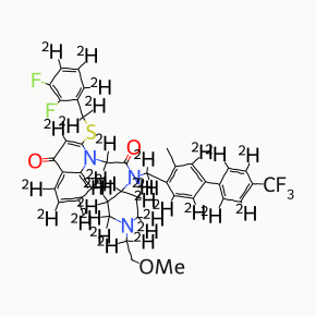 [2H]c1c([2H])c(F)c(F)c(C([2H])([2H])Sc2c([2H])c(=O)c3c([2H])c([2H])c([2H])c([2H])c3n2C([2H])([2H])C(=O)N(C([2H])([2H])c2c([2H])c([2H])c(-c3c([2H])c([2H])c(C(F)(F)F)c([2H])c3[2H])c([2H])c2C)C2([2H])C([2H])([2H])C([2H])([2H])N(C([2H])([2H])COC)C([2H])([2H])C2([2H])[2H])c1[2H]